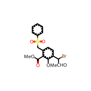 COC(=O)c1c(CS(=O)(=O)c2ccccc2)ccc(C(Br)C=O)c1OC